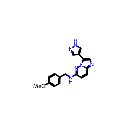 COc1ccc(CNc2ccc3ncc(-c4cn[nH]c4)n3n2)cc1